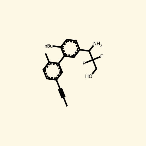 CC#Cc1ccc(C)c(-c2cc(C(N)C(F)(F)CO)ccc2CCCC)c1